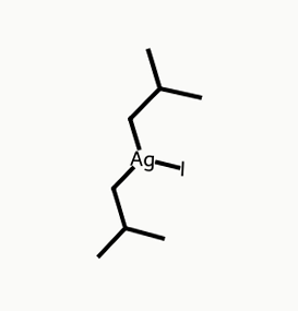 CC(C)[CH2][Ag]([I])[CH2]C(C)C